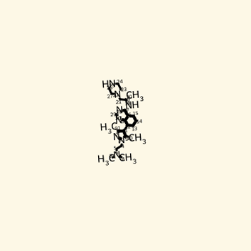 Cc1nn(CCN(C)C)c(C)c1-c1cccc2c(NC(C)CN3CCNCC3)ncnc12